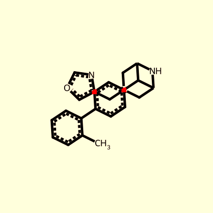 Cc1ccccc1-c1ccc(C2C3CN(Cc4cocn4)CC2N3)cc1